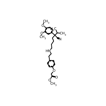 COC(=O)COc1ccc(CCNCCCCC(C#N)(c2ccc(OC)c(OC)c2)C(C)C)cc1